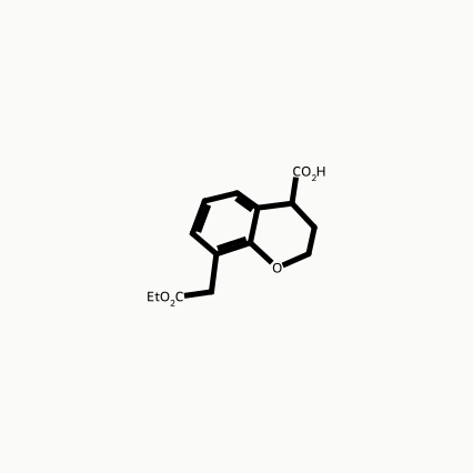 CCOC(=O)Cc1cccc2c1OCCC2C(=O)O